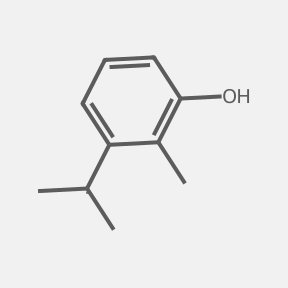 C[C](C)c1cccc(O)c1C